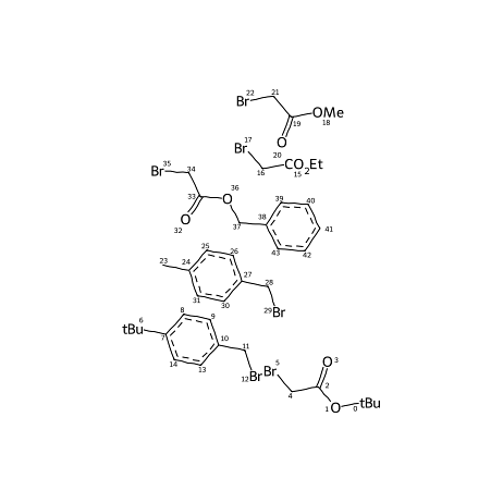 CC(C)(C)OC(=O)CBr.CC(C)(C)c1ccc(CBr)cc1.CCOC(=O)CBr.COC(=O)CBr.Cc1ccc(CBr)cc1.O=C(CBr)OCc1ccccc1